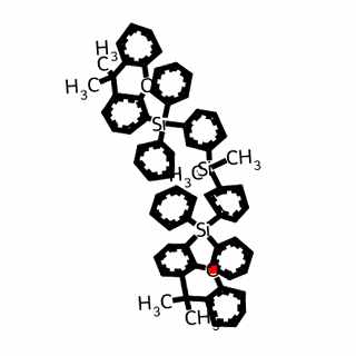 CC1(C)c2ccccc2Oc2c1cccc2[Si](c1ccccc1)(c1ccccc1)c1cccc([Si](C)(C)c2cccc([Si](c3ccccc3)(c3ccccc3)c3cccc4c3Oc3ccccc3C4(C)C)c2)c1